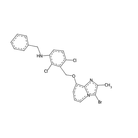 Cc1nc2c(OCc3c(Cl)ccc(NCc4ccccc4)c3Cl)cccn2c1Br